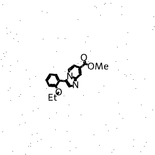 CCOc1ccccc1-c1cnc2cc(C(=O)OC)ccn12